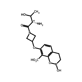 CC(O)[C@H](N)C(=O)N1CC(Oc2ccc3c(c2C(=O)O)OB(O)CC3)C1